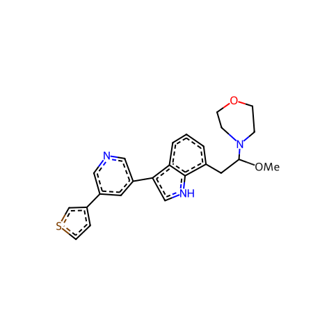 COC(Cc1cccc2c(-c3cncc(-c4ccsc4)c3)c[nH]c12)N1CCOCC1